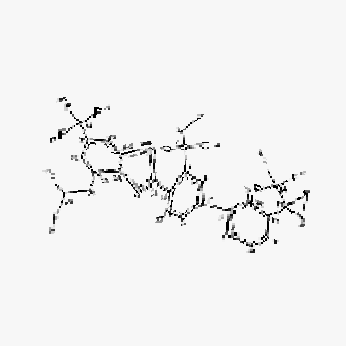 CCS(=O)(=O)c1cc(-c2cccc(C3(C(F)(F)F)CC3)n2)cnc1-c1cc2n(CC(F)F)cc(C(F)(F)F)cc-2n1